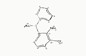 CC(=O)C(c1ccccc1)c1cccc(C(F)(F)F)c1N